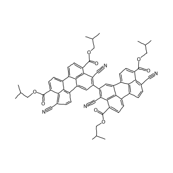 CC(C)COC(=O)c1ccc2c3ccc(C(=O)OCC(C)C)c4c(C#N)c(-c5cc6c7ccc(C(=O)OCC(C)C)c8c(C#N)ccc(c9ccc(C(=O)OCC(C)C)c(c5C#N)c96)c87)cc(c5ccc(C#N)c1c25)c43